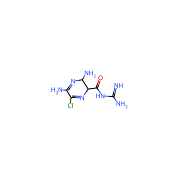 N=C(N)NC(=O)C1N=C(Cl)C(N)=NC1N